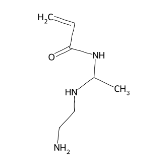 C=CC(=O)NC(C)NCCN